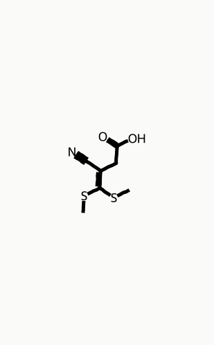 CSC(SC)=C(C#N)CC(=O)O